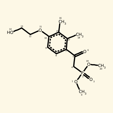 COP(=O)(CC(=O)c1ccc(OCCO)c(C)c1C)OC